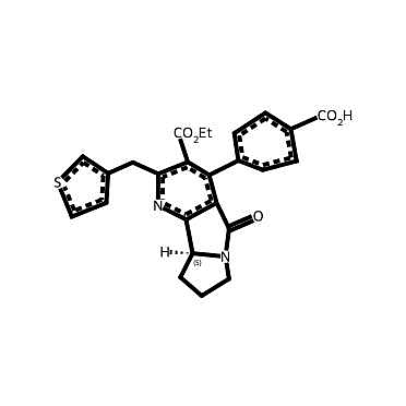 CCOC(=O)c1c(Cc2ccsc2)nc2c(c1-c1ccc(C(=O)O)cc1)C(=O)N1CCC[C@@H]21